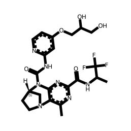 Cc1nc(C(=O)NC(C)C(F)(F)F)nc2c1N1CC[C@@H](C1)N2C(=O)Nc1cc(OCC(O)CO)ccn1